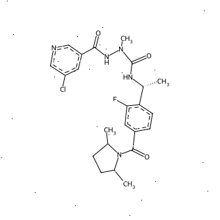 CC1CCC(C)N1C(=O)c1ccc([C@@H](C)NC(=O)N(C)NC(=O)c2cncc(Cl)c2)c(F)c1